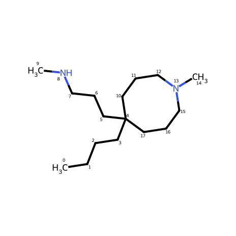 CCCCC1(CCCNC)CCCN(C)CCC1